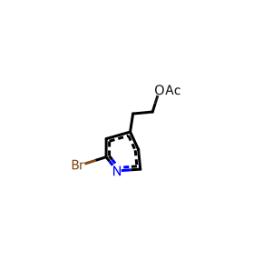 CC(=O)OCCc1ccnc(Br)c1